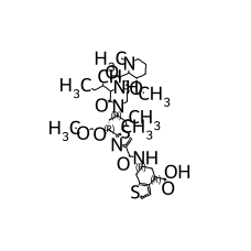 CCC(C)C(NC(=O)C1CCCCN1C)C(=O)N(CCOC)[C@H](C[C@@H](OCOC)c1nc(C(=O)N[C@H]2Cc3sccc3[C@H](C(=O)O)C2)cs1)C(C)C